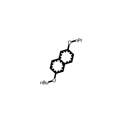 [CH2]CCCOc1ccc2cc(OCCC)ccc2c1